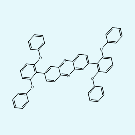 c1ccc(Oc2cccc(Oc3ccccc3)c2-c2ccc3nc4cc(-c5c(Oc6ccccc6)cccc5Oc5ccccc5)ccc4nc3c2)cc1